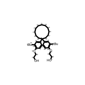 CC(C)(C)c1cc(C2(c3ccc(OCCO)c(C(C)(C)C)c3)CCCCCCCCCCC2)ccc1OCCO